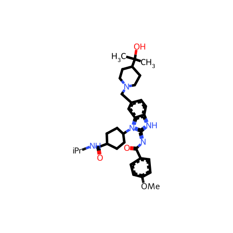 COc1ccc(C(=O)/N=c2/[nH]c3ccc(CN4CCC(C(C)(C)O)CC4)cc3n2C2CCC(C(=O)NC(C)C)CC2)cc1